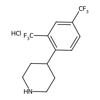 Cl.FC(F)(F)c1ccc(C2CCNCC2)c(C(F)(F)F)c1